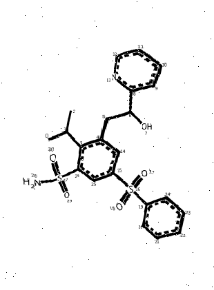 CC(C)c1c(CC(O)c2ccccn2)cc(S(=O)(=O)c2ccccc2)cc1S(N)(=O)=O